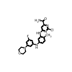 Cc1ccc(Nc2cc(F)cc(N3CCOCC3)c2)cc1Nc1cc(C(N)=O)nc(Cl)n1